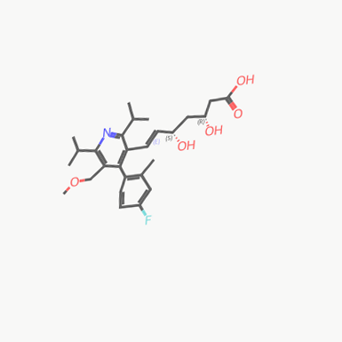 COCc1c(C(C)C)nc(C(C)C)c(/C=C/[C@@H](O)C[C@@H](O)CC(=O)O)c1-c1ccc(F)cc1C